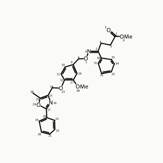 COC(=O)CCC(=NOCc1ccc(OCc2nc(-c3ccccc3)oc2C)c(OC)c1)c1ccccc1